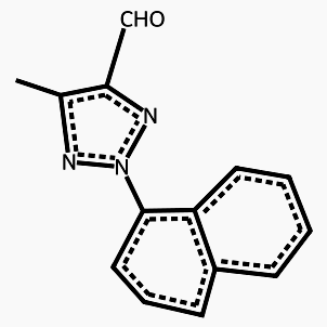 Cc1nn(-c2cccc3ccccc23)nc1C=O